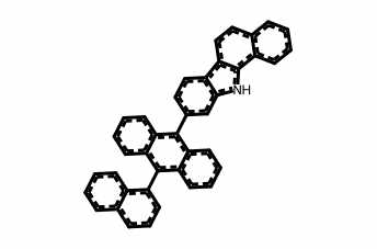 c1ccc2c(-c3c4ccccc4c(-c4ccc5c(c4)[nH]c4c6ccccc6ccc54)c4ccccc34)cccc2c1